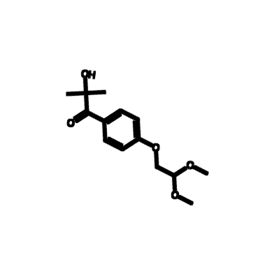 COC(COc1ccc(C(=O)C(C)(C)O)cc1)OC